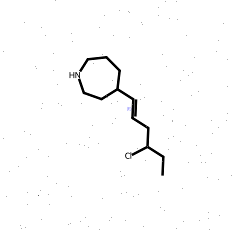 CCC(Cl)C/C=C/C1CCCNCC1